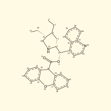 CCC1C[C@H]([C@@H](OC(=O)C2c3ccccc3Oc3ccccc32)c2ccnc3ccccc23)NC[C@@H]1CC